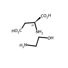 NCCO.N[C@@H](CC(=O)O)C(=O)O